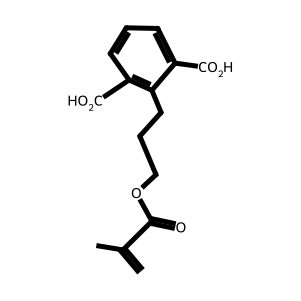 C=C(C)C(=O)OCCCc1c(C(=O)O)cccc1C(=O)O